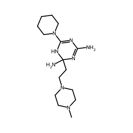 CN1CCN(CCC2(N)N=C(N)N=C(N3CCCCC3)N2)CC1